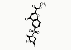 COC(=O)c1cc(=O)c2cc(S(=O)(=O)N3CC(=O)NC3=O)ccc2o1